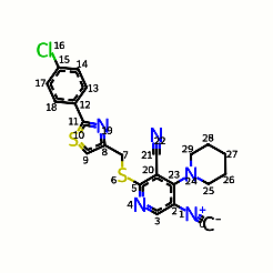 [C-]#[N+]c1cnc(SCc2csc(-c3ccc(Cl)cc3)n2)c(C#N)c1N1CCCCC1